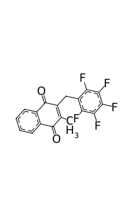 CC1=C(Cc2c(F)c(F)c(F)c(F)c2F)C(=O)c2ccccc2C1=O